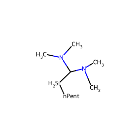 CCCCC[SiH2]C(N(C)C)N(C)C